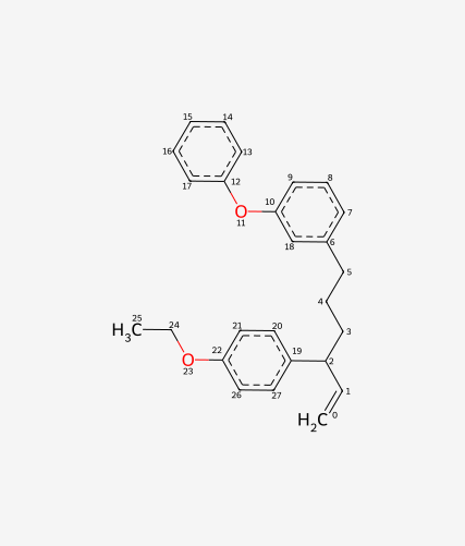 C=CC(CCCc1cccc(Oc2ccccc2)c1)c1ccc(OCC)cc1